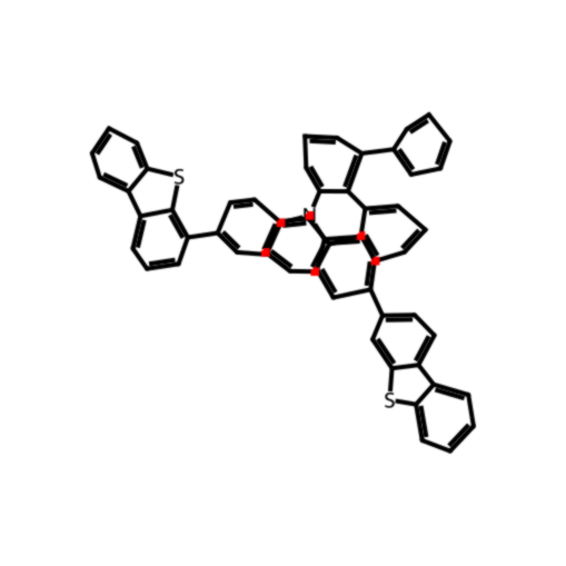 c1ccc(-c2ccccc2-c2c(-c3ccccc3)cccc2N(c2ccc(-c3ccc4c(c3)sc3ccccc34)cc2)c2ccc(-c3cccc4c3sc3ccccc34)cc2)cc1